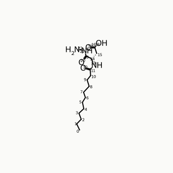 CCCCCCCCCCCC(=O)N[C@@H](CC(=O)O)C(=O)NN